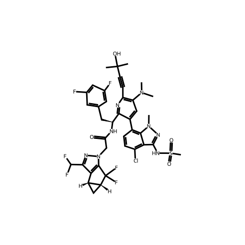 CN(C)c1cc(-c2ccc(Cl)c3c(NS(C)(=O)=O)nn(C)c23)c([C@H](Cc2cc(F)cc(F)c2)NC(=O)Cn2nc(C(F)F)c3c2C(F)(F)[C@@H]2C[C@H]32)nc1C#CC(C)(C)O